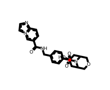 O=C(NCc1ccc(S(=O)(=O)N2C3COCC2CC(O)C3)cc1)c1ccc2nccn2c1